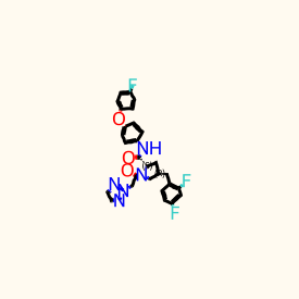 O=C(Nc1ccc(Oc2ccc(F)cc2)cc1)[C@@H]1C[C@@H](Cc2ccc(F)cc2F)CN1C(=O)Cn1nccn1